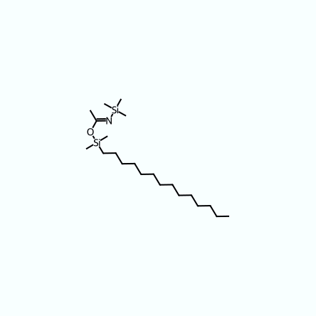 CCCCCCCCCCCCCC[Si](C)(C)OC(C)=N[Si](C)(C)C